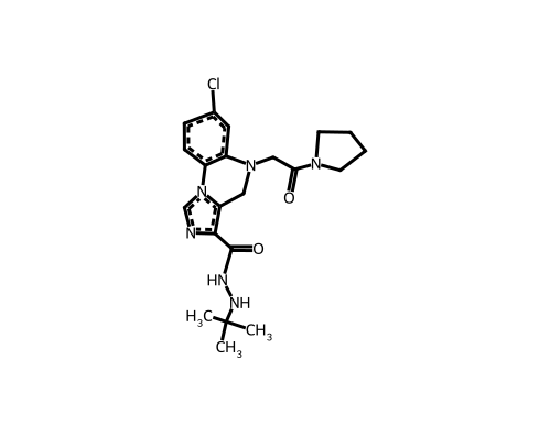 CC(C)(C)NNC(=O)c1ncn2c1CN(CC(=O)N1CCCC1)c1cc(Cl)ccc1-2